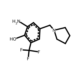 Nc1cc(CN2CCCC2)cc(C(F)(F)F)c1O